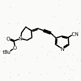 CC(C)(C)OC(=O)N1CCC(=CC#Cc2cncc(C#N)c2)CC1